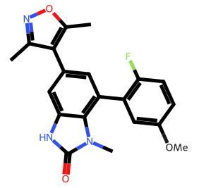 COc1ccc(F)c(-c2cc(-c3c(C)noc3C)cc3[nH]c(=O)n(C)c23)c1